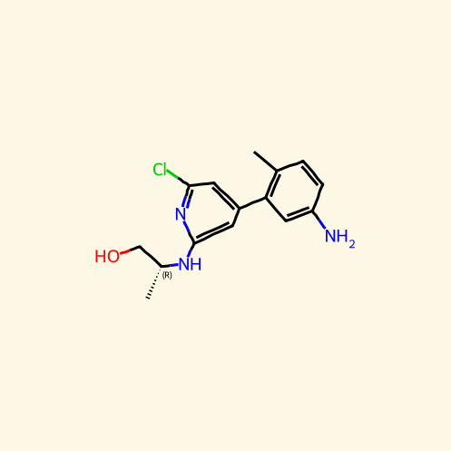 Cc1ccc(N)cc1-c1cc(Cl)nc(N[C@H](C)CO)c1